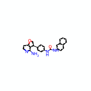 Nc1nccc2occ(-c3ccc(NC(=O)Nc4ccc5ccccc5c4)cc3)c12